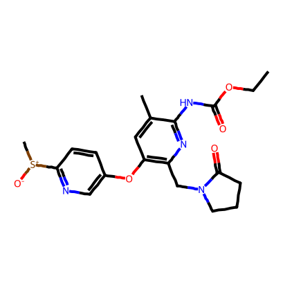 CCOC(=O)Nc1nc(CN2CCCC2=O)c(Oc2ccc([S+](C)[O-])nc2)cc1C